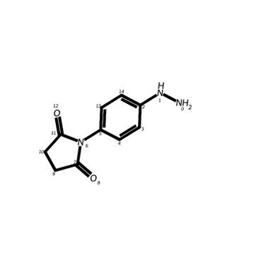 NNc1ccc(N2C(=O)CCC2=O)cc1